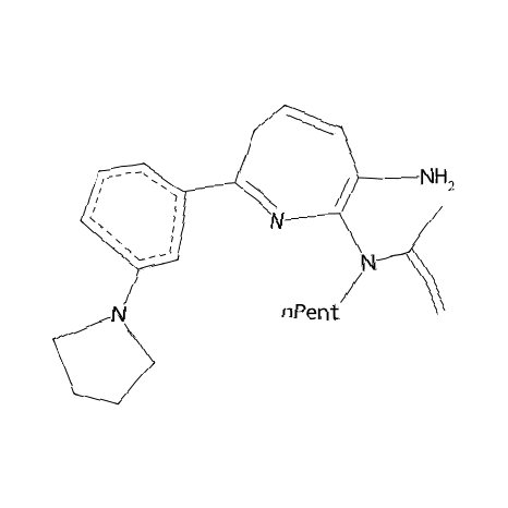 C=C(C)N(CCCCC)C1=C(N)C=CCC(c2cccc(N3CCCC3)c2)=N1